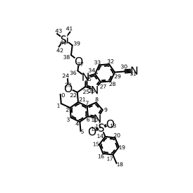 CCc1cc(C)c2c(ccn2S(=O)(=O)c2ccc(C)cc2)c1C(OC)c1nc2cc(C#N)ccc2n1COCC[Si](C)(C)C